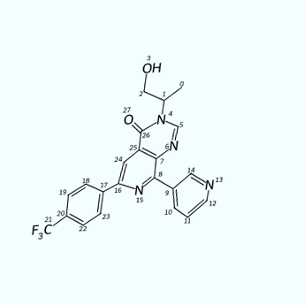 CC(CO)n1cnc2c(-c3cccnc3)nc(-c3ccc(C(F)(F)F)cc3)cc2c1=O